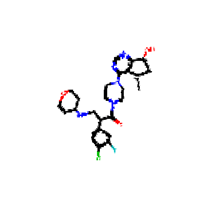 C[C@@H]1C[C@H](O)c2ncnc(N3CCN(C(=O)C(CNC4CCOCC4)c4ccc(Cl)c(F)c4)CC3)c21